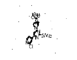 CSc1nc(-c2ccnc(Cl)c2)cc(N2CC3CC2CN3C(=O)OC(C)(C)C)n1